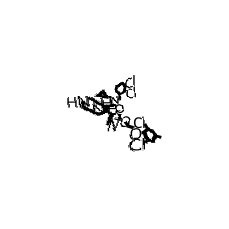 Cc1cc(Cl)c(OCCOc2ncc(C3=C(C(=O)N(Cc4cccc(Cl)c4Cl)C4CC4)[C@H]4CNCC(C3)N4)s2)c(Cl)c1